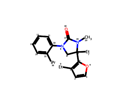 CCc1ccoc1C1(CC)CN(c2ccccc2C(C)C)C(=O)N1C